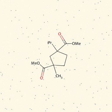 COC(=O)C1(C)CCC(C(=O)OC)(C(C)C)C1